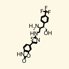 N[C@H](CNc1ncc(-c2ccc3[nH]c(=O)oc3c2)s1)[C@@H](CO)c1ccc(C(F)(F)F)cc1